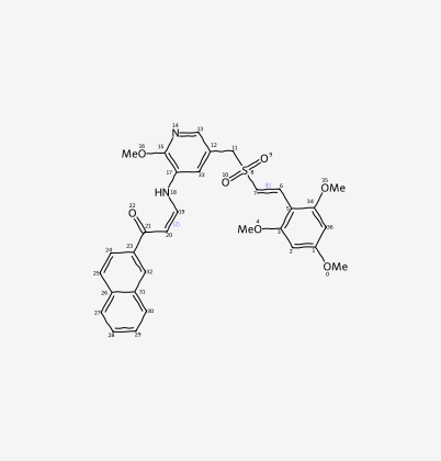 COc1cc(OC)c(/C=C/S(=O)(=O)Cc2cnc(OC)c(N/C=C\C(=O)c3ccc4ccccc4c3)c2)c(OC)c1